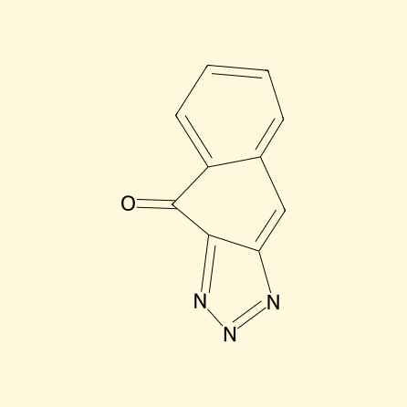 O=C1C2=NN=NC2=Cc2ccccc21